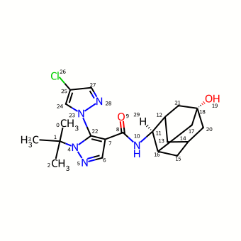 CC(C)(C)n1ncc(C(=O)N[C@H]2C3CC4CC2C[C@](O)(C4)C3)c1-n1cc(Cl)cn1